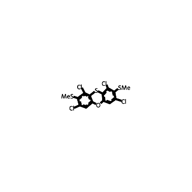 CSc1c(Cl)cc2c(c1Cl)Sc1c(cc(Cl)c(SC)c1Cl)O2